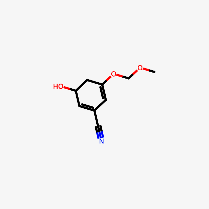 COCOC1=CC(C#N)=CC(O)C1